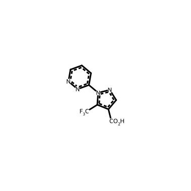 O=C(O)c1cnn(-c2cccnn2)c1C(F)(F)F